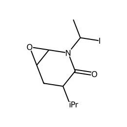 CC(C)C1CC2OC2N(C(C)I)C1=O